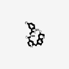 CCc1cnc2ccc(Cc3cc(C(=O)NCc4n[nH]c5ccc(Cl)cc45)ccn3)cc2c1